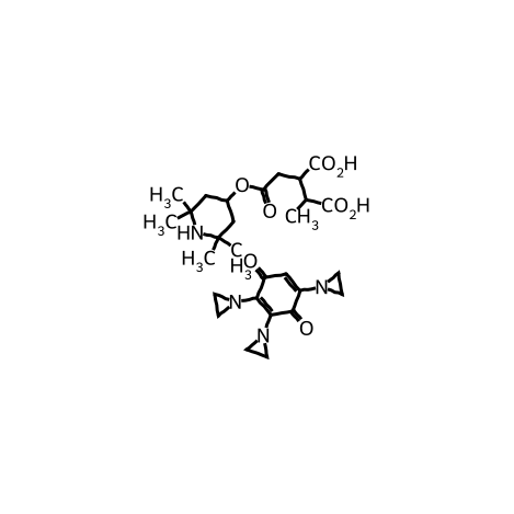 CC(C(=O)O)C(CC(=O)OC1CC(C)(C)NC(C)(C)C1)C(=O)O.O=C1C=C(N2CC2)C(=O)C(N2CC2)=C1N1CC1